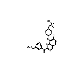 CSCc1cncc(Nc2ncc3ccc(Cl)c(O[C@H]4CC[C@@H](O[Si](C)(C)C(C)(C)C)CC4)c3n2)c1